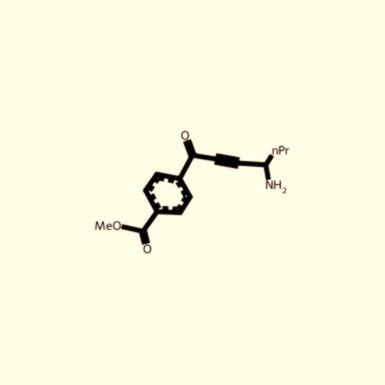 CCCC(N)C#CC(=O)c1ccc(C(=O)OC)cc1